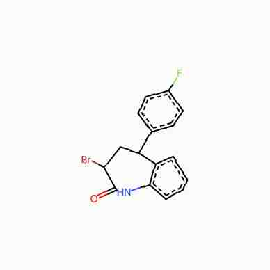 O=C1Nc2ccccc2C(c2ccc(F)cc2)CC1Br